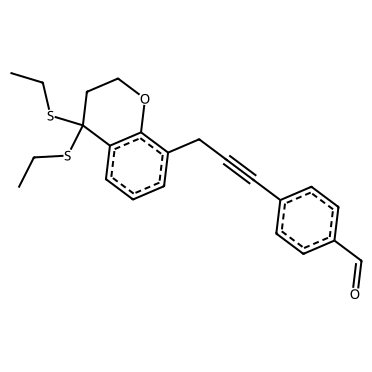 CCSC1(SCC)CCOc2c(CC#Cc3ccc(C=O)cc3)cccc21